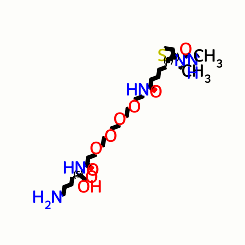 CCN(C(=O)NC)[C@H]1CCS[C@H]1CCCCC(=O)NCCOCCOCCOCCOCCC(=O)N[C@@H](CCCCN)C(=O)O